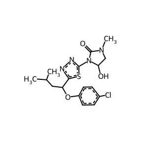 CC(C)CC(Oc1ccc(Cl)cc1)c1nnc(N2C(=O)N(C)CC2O)s1